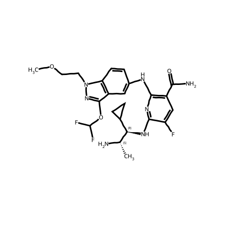 COCCn1nc(OC(F)F)c2cc(Nc3nc(N[C@H](C4CC4)[C@H](C)N)c(F)cc3C(N)=O)ccc21